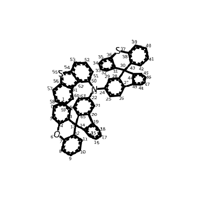 c1ccc2c(c1)Oc1ccccc1C21c2ccccc2-c2cc(N(c3ccc4c(c3)C3(c5ccccc5Sc5ccccc53)c3ccccc3-4)c3cccc4sc5ccccc5c34)ccc21